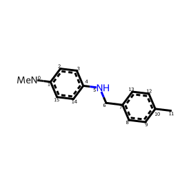 CNc1ccc(NCc2ccc(C)cc2)cc1